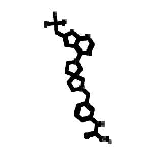 CC(=O)Nc1cccc(CN2CCC3(CCN(c4ncnc5sc(CC(F)(F)F)cc45)C3)C2)c1